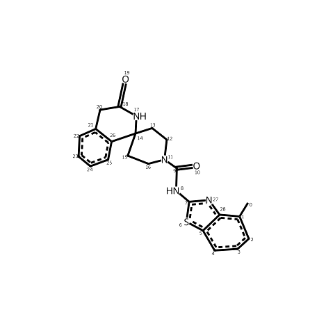 Cc1cccc2sc(NC(=O)N3CCC4(CC3)NC(=O)Cc3ccccc34)nc12